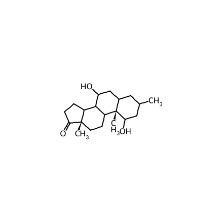 CC1CC(O)[C@@]2(C)C(C1)CC(O)C1C2CC[C@]2(C)C(=O)CCC12